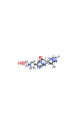 Cc1cn2cc(-c3cc(=O)n4cc(C5CCN(CCO)CC5)ncc4n3)cc(C)c2n1